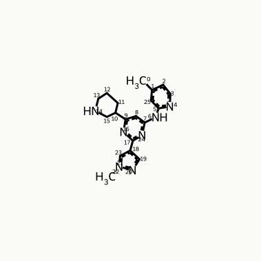 Cc1ccnc(Nc2cc(C3CCCNC3)nc(-c3cnn(C)c3)n2)c1